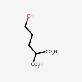 O=C(O)C(CCCO)C(=O)O